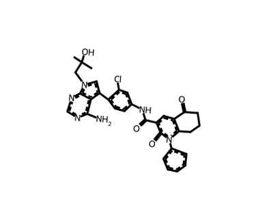 CC(C)(O)Cn1cc(-c2ccc(NC(=O)c3cc4c(n(-c5ccccc5)c3=O)CCCC4=O)cc2Cl)c2c(N)ncnc21